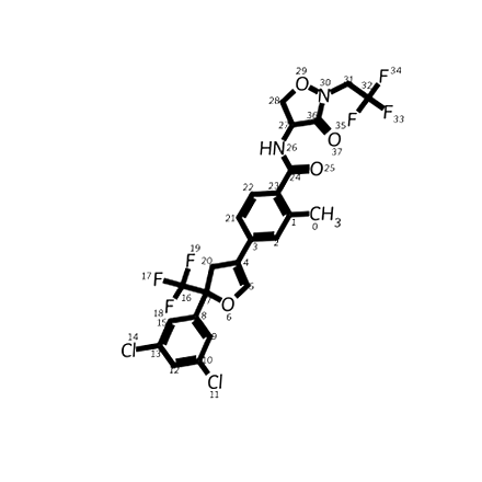 Cc1cc(C2=COC(c3cc(Cl)cc(Cl)c3)(C(F)(F)F)C2)ccc1C(=O)NC1CON(CC(F)(F)F)C1=O